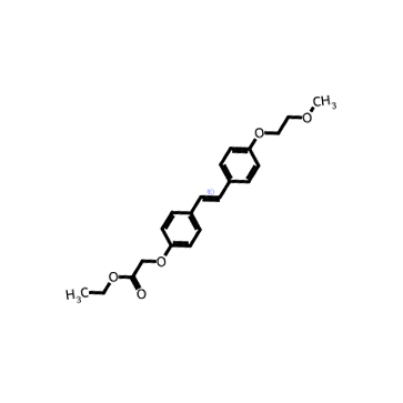 CCOC(=O)COc1ccc(/C=C/c2ccc(OCCOC)cc2)cc1